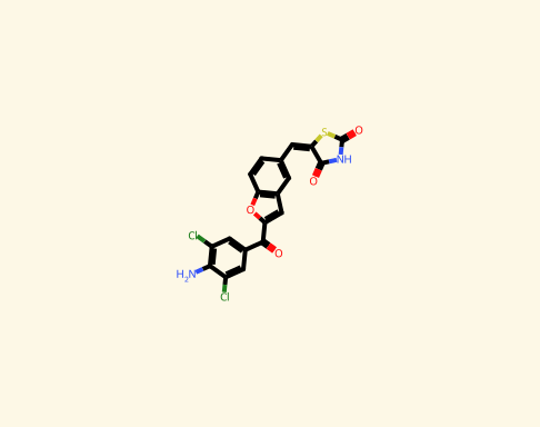 Nc1c(Cl)cc(C(=O)c2cc3cc(C=C4SC(=O)NC4=O)ccc3o2)cc1Cl